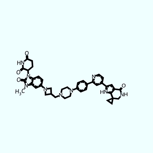 Cn1c(=O)n(C2CCC(=O)NC2=O)c2ccc(N3CC(CN4CCN(c5ccc(-c6cc(-c7cc8c([nH]7)C7(CC7)CNC8=O)ccn6)cc5)CC4)C3)cc21